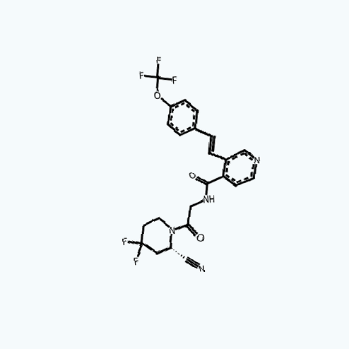 N#C[C@@H]1CC(F)(F)CCN1C(=O)CNC(=O)c1ccncc1/C=C/c1ccc(OC(F)(F)F)cc1